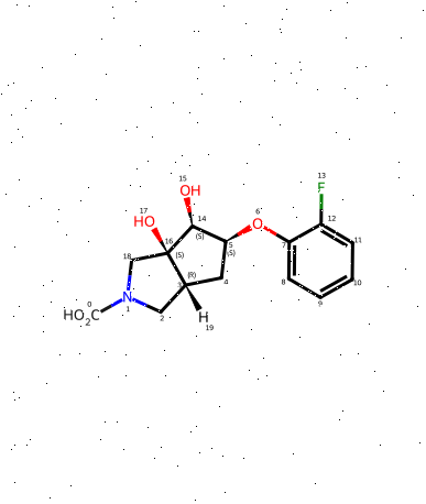 O=C(O)N1C[C@H]2C[C@H](Oc3ccccc3F)[C@H](O)[C@@]2(O)C1